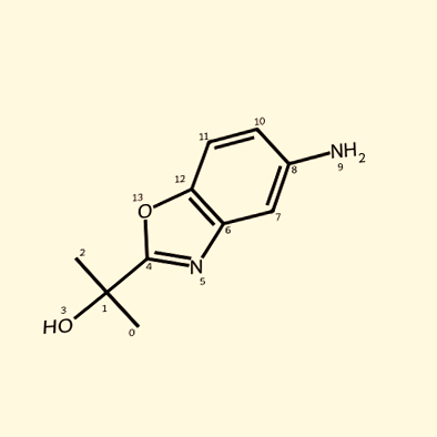 CC(C)(O)c1nc2cc(N)ccc2o1